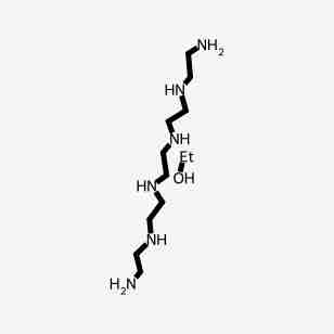 CCO.NCCNCCNCCNCCNCCN